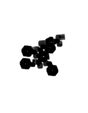 O=C(OCc1ccccc1)c1c(OCc2ccccc2)nc(-c2ccc3c(c2CO)CCN3C(=O)O)c(CO)c1OCc1ccccc1